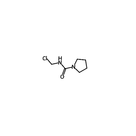 O=C(NCCl)N1CCCC1